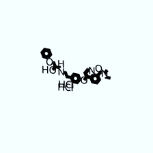 CCN(C)C(=O)c1cccc2c(Oc3ccc(CCNCC(O)COc4ccccc4)cc3)ccnc12.Cl.Cl